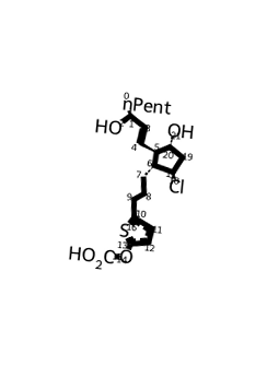 CCCCC[C@H](O)/C=C/[C@@H]1[C@@H](CCCc2ccc(OC(=O)O)s2)[C@H](Cl)C[C@H]1O